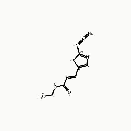 CCOC(=O)C=Cc1cnc(N=[N+]=[N-])s1